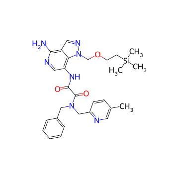 Cc1ccc(CN(Cc2ccccc2)C(=O)C(=O)Nc2cnc(N)c3cnn(COCC[Si](C)(C)C)c23)nc1